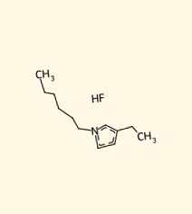 CCCCCCn1ccc(CC)c1.F